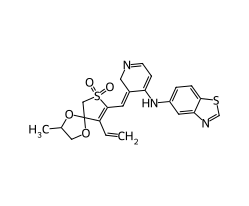 C=CC1=C(/C=C2\CN=CC=C2Nc2ccc3scnc3c2)S(=O)(=O)CC12OCC(C)O2